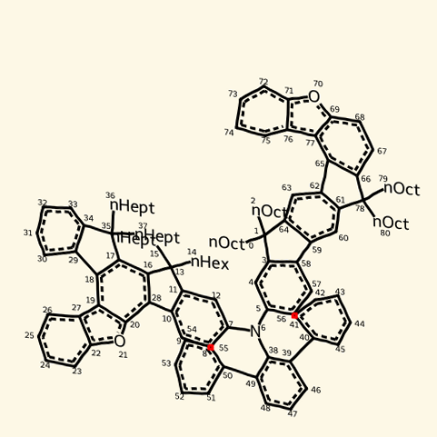 CCCCCCCCC1(CCCCCCCC)c2cc(N(c3ccc4c(c3)C(CCCCCC)(CCCCCCC)c3c5c(c6c(oc7ccccc76)c3-4)-c3ccccc3C5(CCCCCCC)CCCCCCC)c3c(-c4ccccc4)cccc3-c3ccccc3)ccc2-c2cc3c(cc21)-c1c(ccc2oc4ccccc4c12)C3(CCCCCCCC)CCCCCCCC